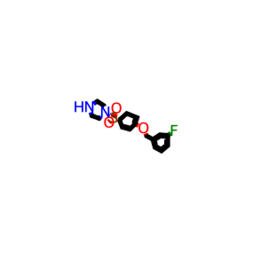 O=S(=O)(C1C=CC(OCc2cccc(F)c2)=CC1)N1CCNCC1